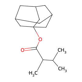 [CH2]C(C(=O)OC12CC3CC(CC(C3)C1)C2)C(C)C